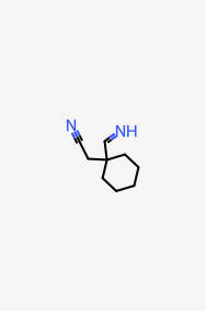 N#CCC1(C=N)CCCCC1